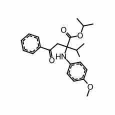 COc1ccc(NC(CC(=O)c2ccccc2)(C(=O)OC(C)C)C(C)C)cc1